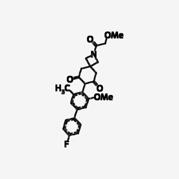 COCC(=O)N1CC2(CC(=O)C(c3c(C)cc(-c4ccc(F)cc4)cc3OC)C(=O)C2)C1